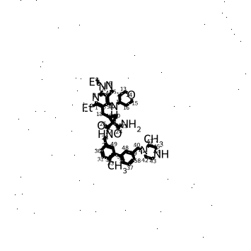 CCc1nc2c(cnn2CC)c(NC2CCOCC2)c1CC1CC1(C(N)=O)C(=O)NCc1ccc(C)c(-c2cccc(CN3CCNC[C@H]3C)c2)c1